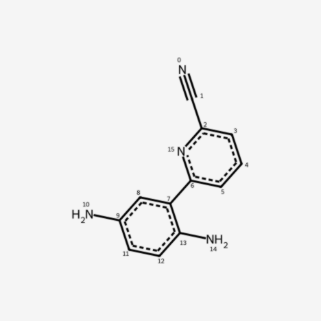 N#Cc1cccc(-c2cc(N)ccc2N)n1